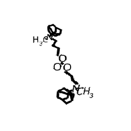 CN(CCCCOC(=O)OCCCCN(C)C12CC3CC(CC(C3)C1)C2)C12CC3CC(CC(C3)C1)C2